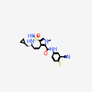 Cn1cc2c(c1C(=O)Nc1ccc(F)c(C#N)c1)C=C[C@H](CC1CC1)NS2(=N)=O